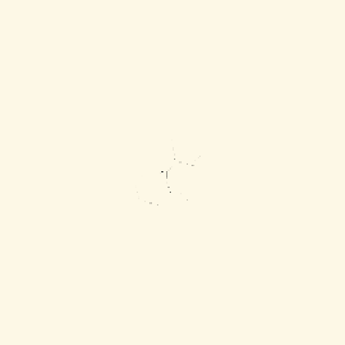 CC1CCCCN1N(C)[C]=O